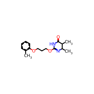 Cc1ccccc1OCCCOC1=NC(C)C(C)C(=O)N1